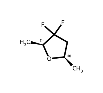 C[C@@H]1CC(F)(F)[C@H](C)O1